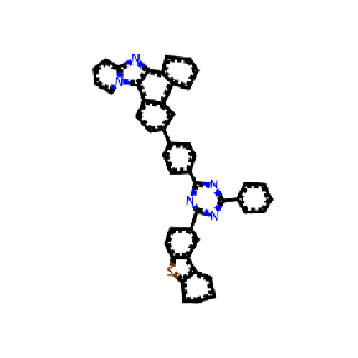 c1ccc(-c2nc(-c3ccc(-c4ccc5c(c4)c4ccccc4c4nc6ccccn6c54)cc3)nc(-c3ccc4sc5ccccc5c4c3)n2)cc1